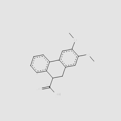 COc1cc2c(cc1OC)-c1ccccc1C(C(=O)O)C2